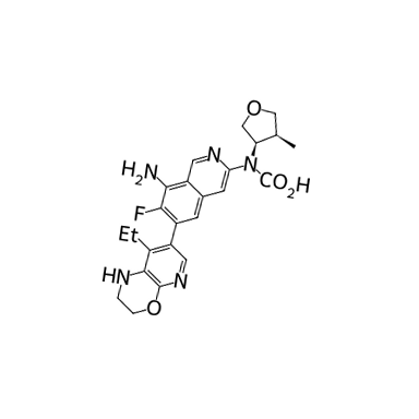 CCc1c(-c2cc3cc(N(C(=O)O)[C@H]4COC[C@H]4C)ncc3c(N)c2F)cnc2c1NCCO2